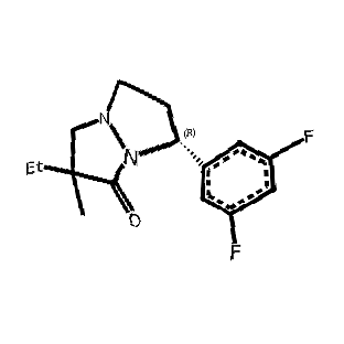 CCC1(C)CN2CC[C@H](c3cc(F)cc(F)c3)N2C1=O